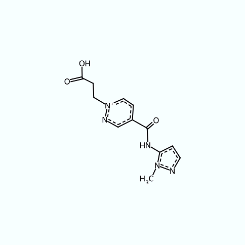 Cn1nccc1NC(=O)c1cc[n+](CCC(=O)O)nc1